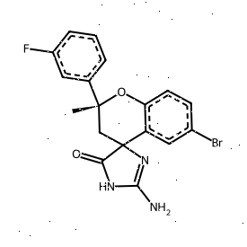 C[C@]1(c2cccc(F)c2)CC2(N=C(N)NC2=O)c2cc(Br)ccc2O1